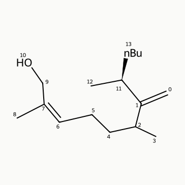 C=C(C(C)CC/C=C(/C)CO)[C@@H](C)CCCC